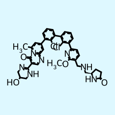 COc1nc(-c2cccc(-c3cccc(-c4cc(C)n5c(=O)c(C6=NCC(O)CN6)cnc5c4)c3Cl)c2Cl)ccc1CNC[C@H]1CCC(=O)N1